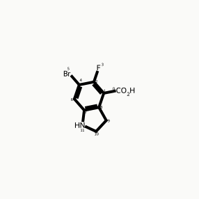 O=C(O)c1c(F)c(Br)cc2c1CCN2